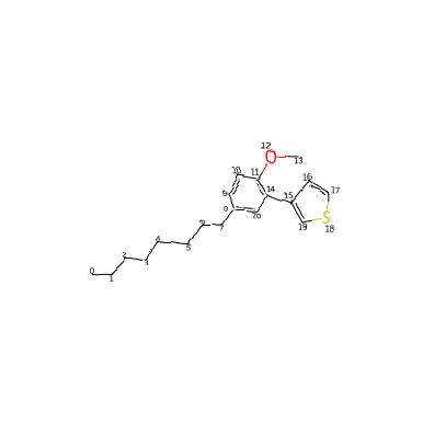 CCCCCCCCc1ccc(OC)c(-c2ccsc2)c1